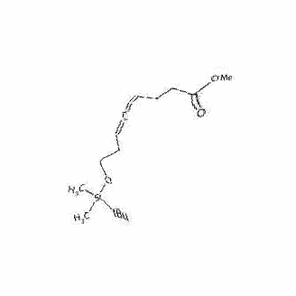 COC(=O)CCC=C=CCCO[Si](C)(C)C(C)(C)C